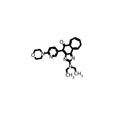 CCN(CC)C1=NC2=C(c3ccc(N4CCOCC4)nc3)C(=O)C3=CC=CCC=C3C2=N1